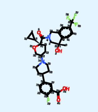 C[C@@]1(O)CN(C(=O)[C@@]2(C3CC3)CC[C@@H](N3CCC(c4ccc(F)c(C(=O)O)c4)CC3)CO2)Cc2cc(C(F)(F)F)ccc21